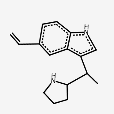 C=Cc1ccc2[nH]cc(C(C)C3CCCN3)c2c1